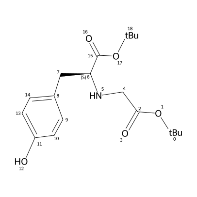 CC(C)(C)OC(=O)CN[C@@H](Cc1ccc(O)cc1)C(=O)OC(C)(C)C